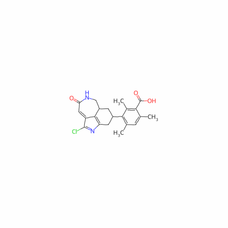 Cc1cc(C)c(C2CC3=C4C(=CC(=O)NCC4C2)C(Cl)=N3)c(C)c1C(=O)O